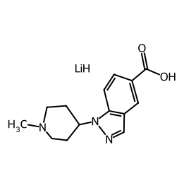 CN1CCC(n2ncc3cc(C(=O)O)ccc32)CC1.[LiH]